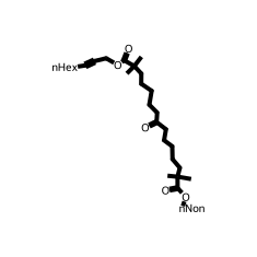 CCCCCCC#CCOC(=O)C(C)(C)CCCCCC(=O)CCCCCC(C)(C)C(=O)OCCCCCCCCC